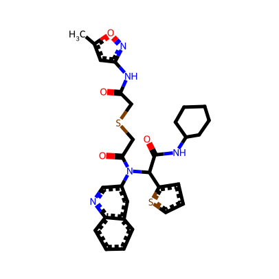 Cc1cc(NC(=O)CSCC(=O)N(c2cnc3ccccc3c2)C(C(=O)NC2CCCCC2)c2cccs2)no1